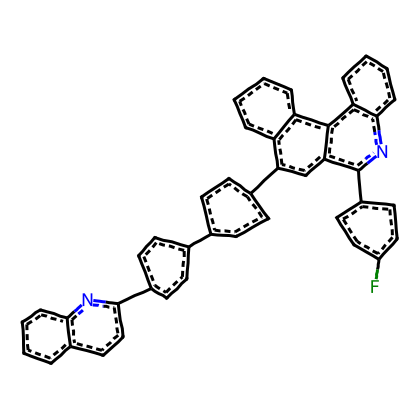 Fc1ccc(-c2nc3ccccc3c3c2cc(-c2ccc(-c4ccc(-c5ccc6ccccc6n5)cc4)cc2)c2ccccc23)cc1